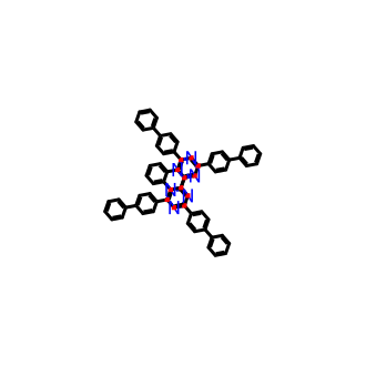 c1ccc(-c2ccc(-c3nc(-c4ccc(-c5ccccc5)cc4)nc(-c4ccccc4-c4ccccc4-c4ccccc4-c4nc(-c5ccc(-c6ccccc6)cc5)nc(-c5ccc(-c6ccccc6)cc5)n4)n3)cc2)cc1